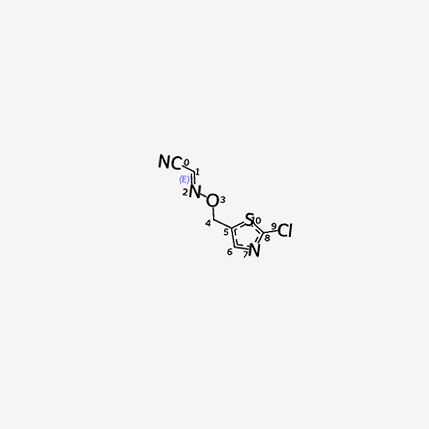 N#C/C=N/OCc1cnc(Cl)s1